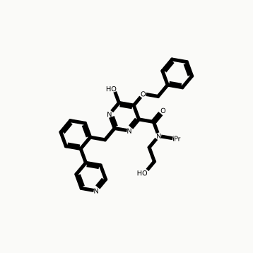 CC(C)N(CCO)C(=O)c1nc(Cc2ccccc2-c2ccncc2)nc(O)c1OCc1ccccc1